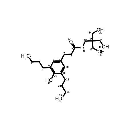 CCCCc1cc(CCC(=O)OCC(CO)(CO)CO)cc(CCCC)c1O